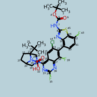 CC(C)(C)OC(=O)Nc1nc2c(-c3c(Cl)cc4c(N5CC6CCC(C(C)(C)C)(C5)N6C(=O)O)nc(F)nc4c3F)ccc(F)c2s1